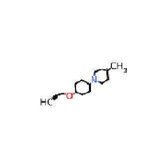 C#CCO[C@H]1CC[C@H](N2CC[C](C)CC2)CC1